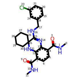 CNC(=O)c1ccc(C(=O)NC)c2c1N=C(NCc1cccc(Cl)c1)C1(CCCCC1)N2